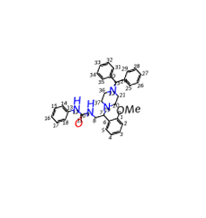 COc1ccccc1C(CNC(=O)Nc1ccccc1)N1CCN(C(c2ccccc2)c2ccccc2)CC1